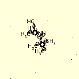 C#CCNc1cc(NS(=O)(=O)C=Cc2c(OC)cc(OC)cc2OC)ccc1OC